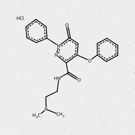 CN(C)CCNC(=O)c1nn(-c2ccccc2)c(=O)cc1Oc1ccccc1.Cl